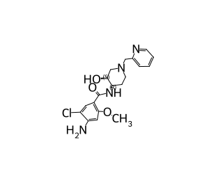 COc1cc(N)c(Cl)cc1C(=O)N[C@@H]1CCN(Cc2ccccn2)C[C@@H]1O